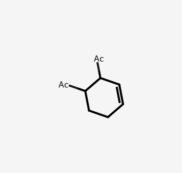 CC(=O)C1C=CCCC1C(C)=O